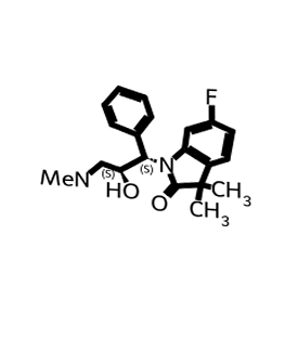 CNC[C@H](O)[C@H](c1ccccc1)N1C(=O)C(C)(C)c2ccc(F)cc21